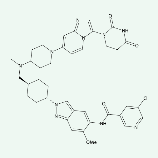 COc1cc2nn([C@H]3CC[C@H](CN(C)C4CCN(c5ccn6c(N7CCC(=O)NC7=O)cnc6c5)CC4)CC3)cc2cc1NC(=O)c1cncc(Cl)c1